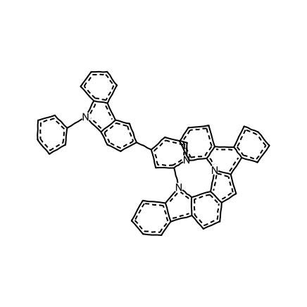 c1ccc(-n2c3ccccc3c3cc(-c4ccnc(-n5c6ccccc6c6ccc7cc8c9ccccc9c9ccccc9n8c7c65)c4)ccc32)cc1